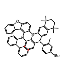 Cc1cc2c3c(c1)N(c1ccccc1-c1ccccc1)c1c(ccc4oc5ccccc5c14)B3c1cc3c(cc1N2c1ccc(C(C)(C)C)cc1C)C(C)(C)CCC3(C)C